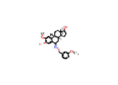 CCOc1cc2c(cc1O)C(=NOCc1cccc(OC(F)(F)F)c1)C[C@@H]1[C@@H]2CC[C@]2(C)[C@@H](O)CC[C@@H]12